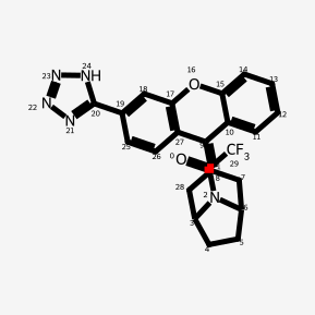 O=C(N1C2CCC1CC(=C1c3ccccc3Oc3cc(-c4nnn[nH]4)ccc31)C2)C(F)(F)F